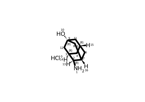 Cl.N[C@H]1[C@@H]2C[C@H]3C[C@H]1C[C@](O)(C3)C2